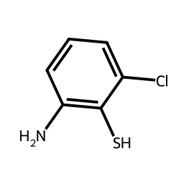 Nc1cccc(Cl)c1S